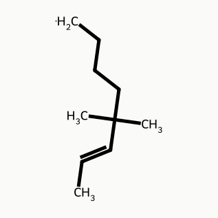 [CH2]CCCC(C)(C)/C=C/C